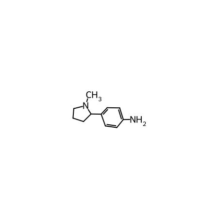 CN1CCCC1c1ccc(N)cc1